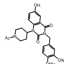 COc1ccc(Cn2c(=O)c3cc(O)ccc3n(C3CCN(C(C)=O)CC3)c2=O)cc1OC